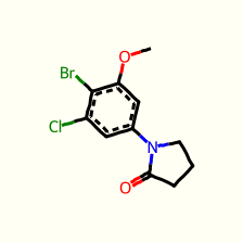 COc1cc(N2CCCC2=O)cc(Cl)c1Br